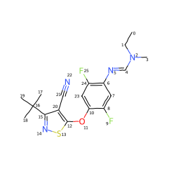 CCN(C)C=Nc1cc(F)c(Oc2snc(C(C)(C)C)c2C#N)cc1F